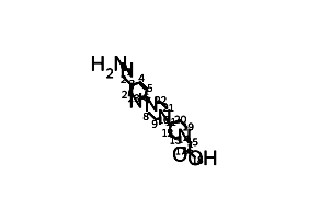 NN=Cc1ccc(N2CCN(C3CCN(CC(=O)O)CC3)CC2)nc1